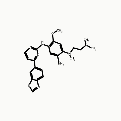 COc1cc(N(C)CCN(C)C)c(N)cc1Nc1nccc(-c2ccc3ncsc3c2)n1